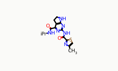 Cc1csc(C(=O)Nc2nc3c(c(C(=O)NC(C)C)n2)CCN3)n1